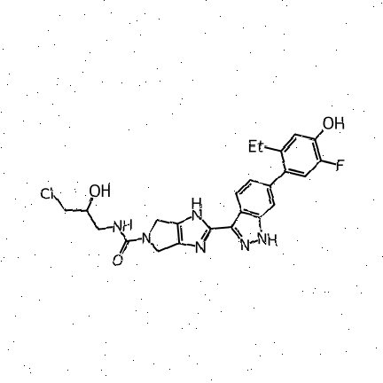 CCc1cc(O)c(F)cc1-c1ccc2c(-c3nc4c([nH]3)CN(C(=O)NCC(O)CCl)C4)n[nH]c2c1